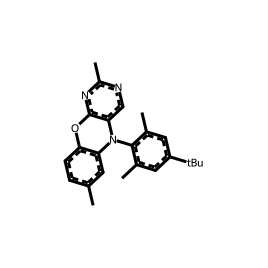 Cc1ccc2c(c1)N(c1c(C)cc(C(C)(C)C)cc1C)c1cnc(C)nc1O2